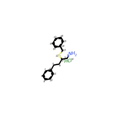 Cl.NCC(CCc1ccccc1)SCc1ccccc1